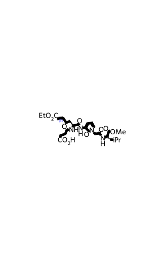 CCOC(=O)/C=C/CC[C@H](NC(=O)CCC(=O)O)C(=O)Nc1cccn(CC(=O)N[C@@H](CC(C)C)C(=O)OC)c1=O